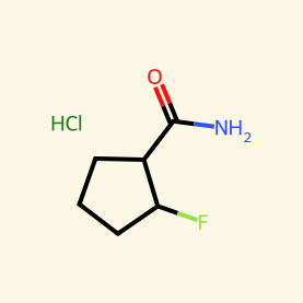 Cl.NC(=O)C1CCCC1F